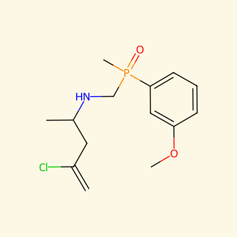 C=C(Cl)CC(C)NCP(C)(=O)c1cccc(OC)c1